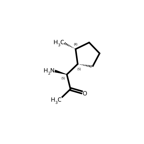 CC(=O)[C@@H](N)[C@H]1CCC[C@H]1C